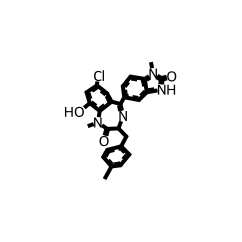 Cc1ccc(CC2N=C(c3ccc4c(c3)[nH]c(=O)n4C)c3cc(Cl)cc(O)c3N(C)C2=O)cc1